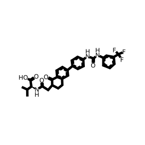 CC(C)[C@H](NC(=O)CC1CCc2cc(-c3ccc(NC(=O)Nc4cccc(C(F)(F)F)c4)cc3)ccc2C1=O)C(=O)O